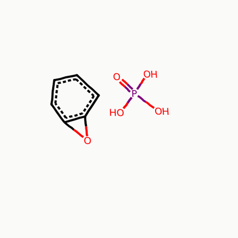 O=P(O)(O)O.c1ccc2c(c1)O2